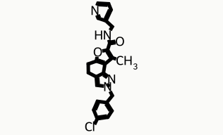 Cc1c(C(=O)NCc2cccnc2)oc2c1-c1nn(Cc3ccc(Cl)cc3)cc1CC2